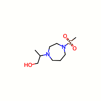 CC(CO)N1CCCN(S(C)(=O)=O)CC1